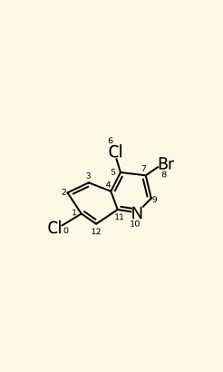 Clc1ccc2c(Cl)c(Br)cnc2c1